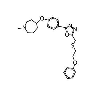 CN1CCCC(Oc2ccc(-c3nnc(CSCCOc4ccccc4)o3)cc2)CC1